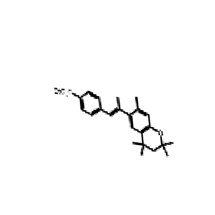 CCOC(=O)c1ccc(C=C(C)c2cc3c(cc2C)OC(C)(C)CC3(C)C)cc1